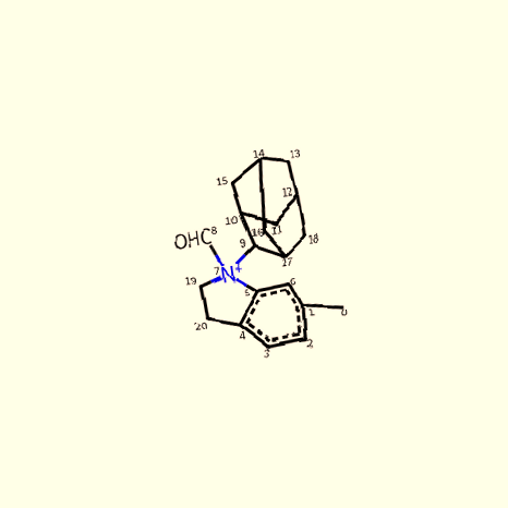 Cc1ccc2c(c1)[N+](C=O)(C1C3CC4CC(C3)CC1C4)CC2